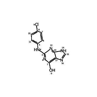 Oc1nc(Nc2ccc(Cl)cc2)nc2[nH]cnc12